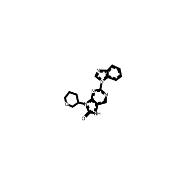 O=c1[nH]c2cnc(-n3cnc4ccccc43)nc2n1C1CCCOC1